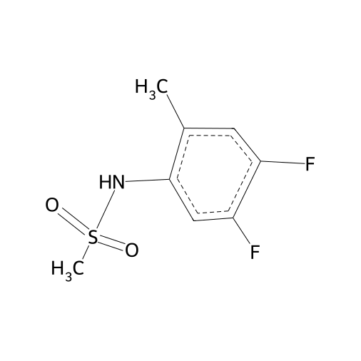 Cc1cc(F)c(F)cc1NS(C)(=O)=O